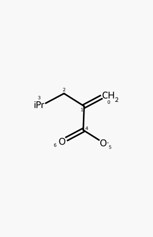 C=C(CC(C)C)C([O])=O